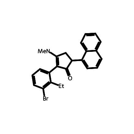 CCc1c(Br)cccc1C1=C(NC)CC(c2cccc3ccccc23)C1=O